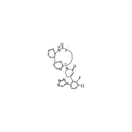 C[C@@H]1CCCC[C@H](N2CCC(c3c(-n4cnnn4)ccc(Cl)c3F)=CC2=O)c2cc(ccn2)-c2ccccc2NC1=O